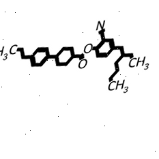 CCCCC(CC)Cc1ccc(OC(=O)C2CCC(c3ccc(CCC)cc3)CC2)c(C#N)c1